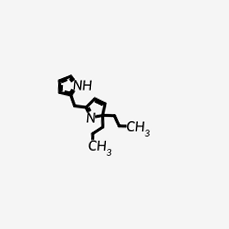 CCCC1(CCC)C=CC(Cc2ccc[nH]2)=N1